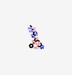 CCNC(=O)Nc1ncnc2c1ncn2C1OC(COCC2N=NN=C2C(=O)O)C2O[C@H](c3ccccc3)OC21